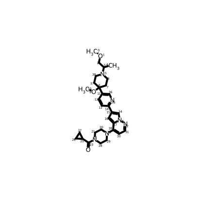 COCC(C)N1CCC(OC)(c2ccc(-c3cc4c(N5CCN(C(=O)C6CC6)CC5)ccnn4c3)nc2)CC1